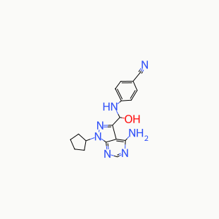 N#Cc1ccc(NC(O)c2nn(C3CCCC3)c3ncnc(N)c23)cc1